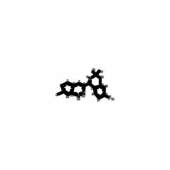 Cc1ccc2cc(C3=NC(C)(C)Cc4cc(F)ccc43)nnc2c1